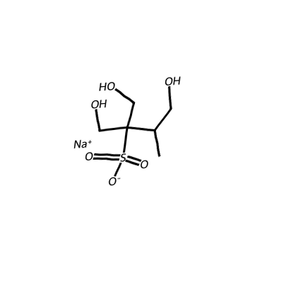 CC(CO)C(CO)(CO)S(=O)(=O)[O-].[Na+]